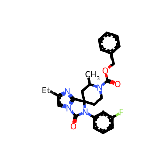 CCc1cn2c(n1)C1(CCN(C(=O)OCc3ccccc3)C(C)C1)N(c1cccc(F)c1)C2=O